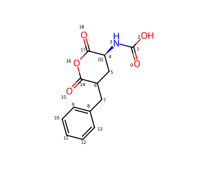 O=C(O)N[C@H]1CC(Cc2ccccc2)C(=O)OC1=O